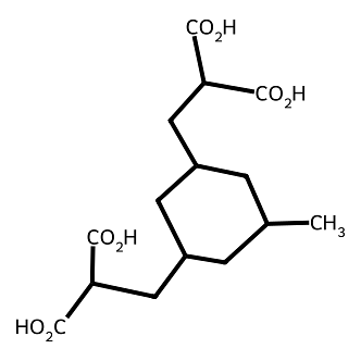 CC1CC(CC(C(=O)O)C(=O)O)CC(CC(C(=O)O)C(=O)O)C1